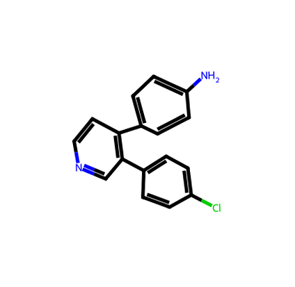 Nc1ccc(-c2ccncc2-c2ccc(Cl)cc2)cc1